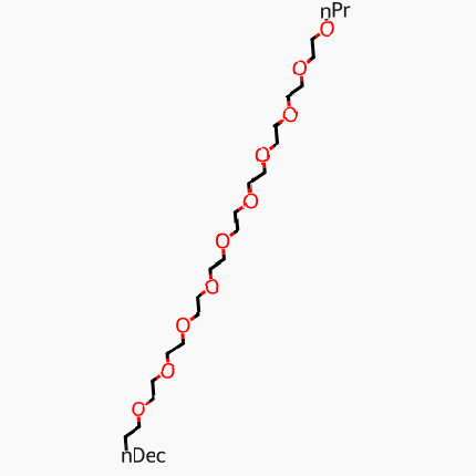 CCCCCCCCCCCCOCCOCCOCCOCCOCCOCCOCCOCCOCCOCCC